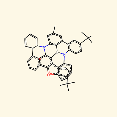 Cc1cc2c3c(c1)N(C1C=CC=CC1c1ccccc1)c1ccc4oc5ccccc5c4c1B3N(c1ccc(C(C)(C)C)cc1)c1ccc(C(C)(C)C)cc1-2